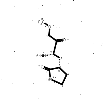 CC(=O)N[C@@H](C[C@@H]1CCNC1=O)C(=O)COC(F)(F)F